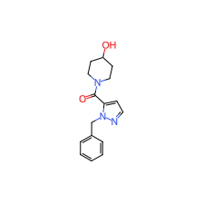 O=C(c1ccnn1Cc1ccccc1)N1CCC(O)CC1